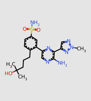 Cn1ncc(-c2nc(-c3cc(S(N)(=O)=O)ccc3CCCC(C)(C)O)cnc2N)n1